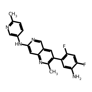 Cc1ccc(Nc2cc3nc(C)c(-c4cc(N)c(F)cc4F)cc3cn2)cn1